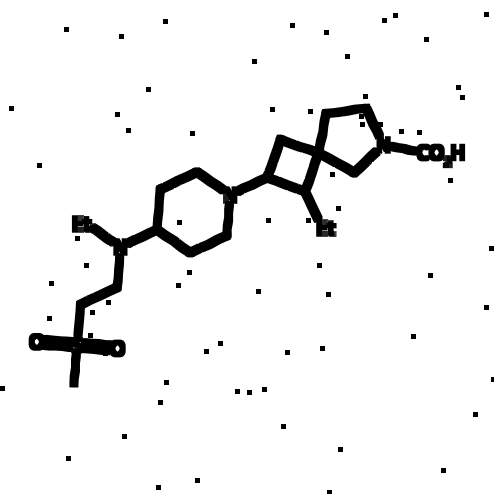 CCC1C(N2CCC(N(CC)CCS(C)(=O)=O)CC2)CC12CCN(C(=O)O)C2